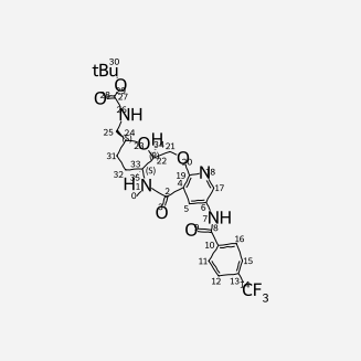 CN1C(=O)c2cc(NC(=O)c3ccc(C(F)(F)F)cc3)cnc2OC[C@@H]2O[C@H](CNC(=O)OC(C)(C)C)CC[C@@H]21